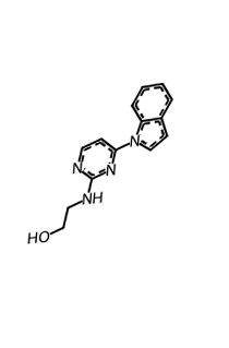 OCCNc1nccc(-n2ccc3ccccc32)n1